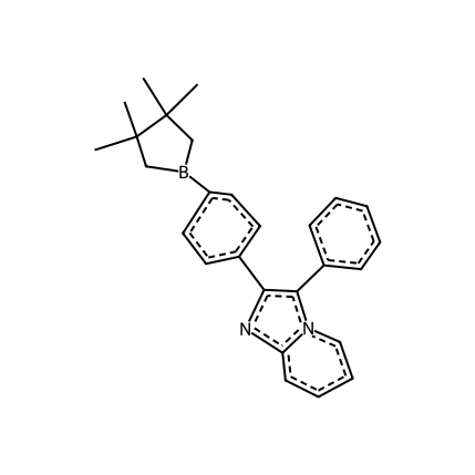 CC1(C)CB(c2ccc(-c3nc4ccccn4c3-c3ccccc3)cc2)CC1(C)C